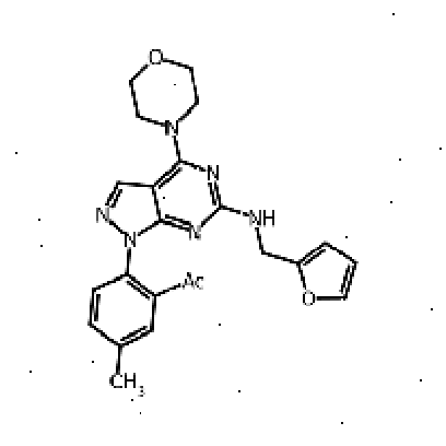 CC(=O)c1cc(C)ccc1-n1ncc2c(N3CCOCC3)nc(NCc3ccco3)nc21